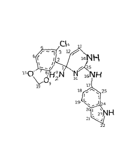 NC1(c2c(Cl)ccc3c2OCO3)C=CNC(Nc2ccc3cc[nH]c3c2)=N1